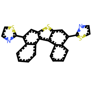 c1ccc2c(c1)c(-c1nccs1)cc1sc3cc(-c4nccs4)c4ccccc4c3c12